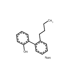 CCCCc1ccccc1-c1ccccc1O.[NaH]